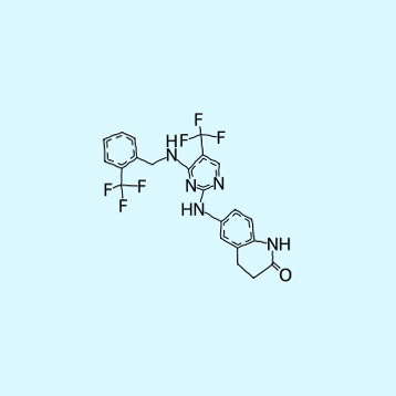 O=C1CCc2cc(Nc3ncc(C(F)(F)F)c(NCc4ccccc4C(F)(F)F)n3)ccc2N1